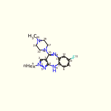 CCCCCCn1cc2c(n1)Nc1ccc(F)cc1N=C2N1CCN(C)CC1